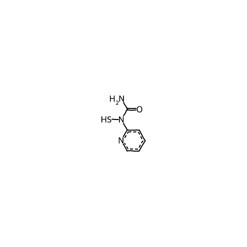 NC(=O)N(S)c1ccccn1